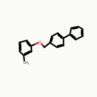 Cc1cccc(OCc2ccc(-c3ccccc3)cc2)c1